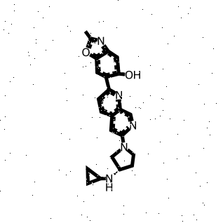 Cc1nc2cc(O)c(-c3ccc4cc(N5CC[C@H](NC6CC6)C5)ncc4n3)cc2o1